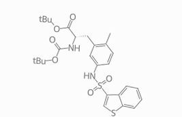 Cc1ccc(NS(=O)(=O)c2csc3ccccc23)cc1C[C@H](NC(=O)OC(C)(C)C)C(=O)OC(C)(C)C